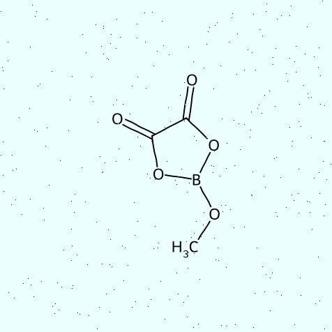 COB1OC(=O)C(=O)O1